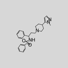 Cn1nccc1C1CCN(CCC(NS(=O)(=O)c2ccccc2)c2ccccc2)CC1